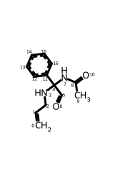 C=CCNC(C=O)(NC(C)=O)c1ccccc1